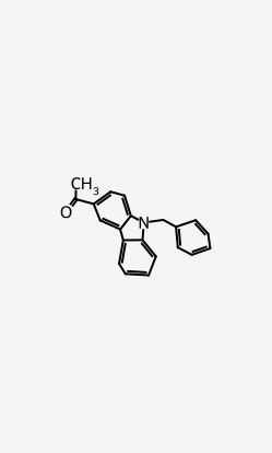 CC(=O)c1ccc2c(c1)c1ccccc1n2Cc1ccccc1